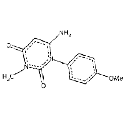 COc1ccc(-n2c(N)cc(=O)n(C)c2=O)cc1